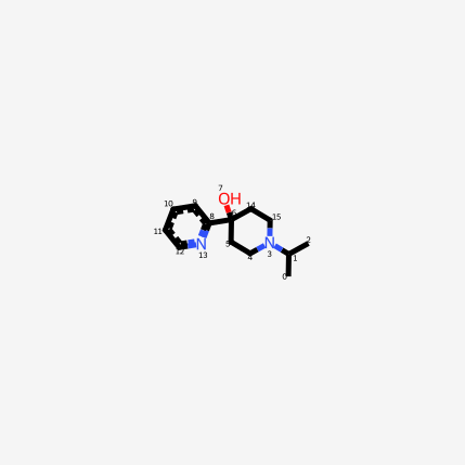 CC(C)N1CCC(O)(c2ccccn2)CC1